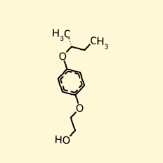 CC[C@@H](C)Oc1ccc(OCCO)cc1